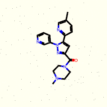 Cc1ccc(-c2cc(C(=O)N3CCN(C)CC3)nn2-c2cccnc2)nc1